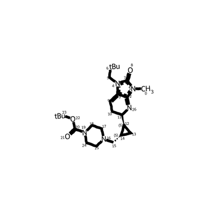 Cn1c2c(n(CC(C)(C)C)c1=O)=CCC([C@H]1C[C@@H]1CN1CCN(C(=O)OC(C)(C)C)CC1)N=2